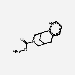 CC(C)(C)OC(=O)N1CC2Cc3cccnc3C(C2)C1